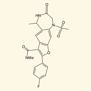 CNC(=O)c1c(-c2ccc(F)cc2)oc2cc3c(cc12)C(C)NC(=O)CN3S(C)(=O)=O